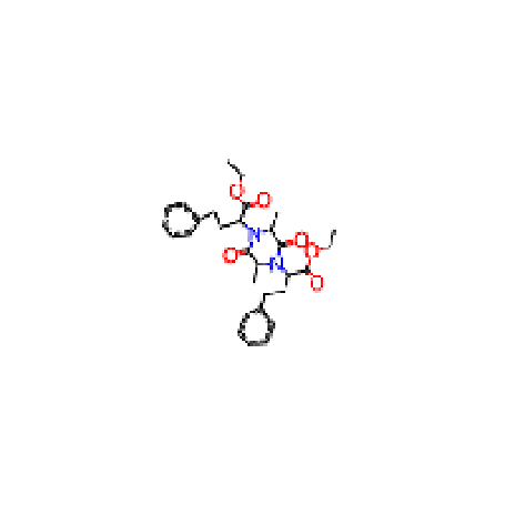 CCOC(=O)C(CCc1ccccc1)N1C(=O)C(C)N(C(CCc2ccccc2)C(=O)OCC)C(=O)C1C